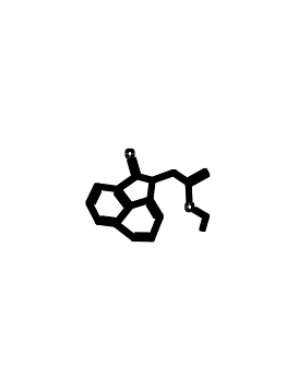 C=C(CC1C(=O)c2cccc3cccc1c23)OCC